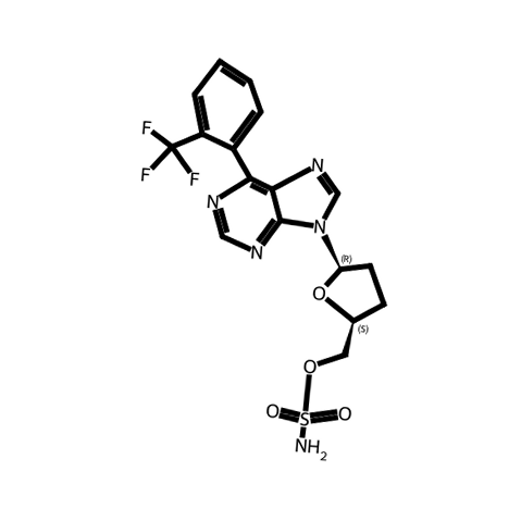 NS(=O)(=O)OC[C@@H]1CC[C@H](n2cnc3c(-c4ccccc4C(F)(F)F)ncnc32)O1